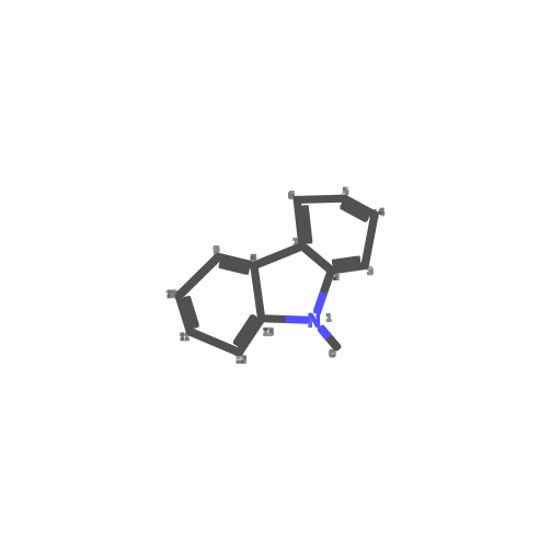 Cn1c2c[c]ccc2c2ccccc21